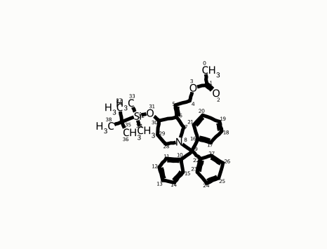 CC(=O)OC/C=C1\CN(C(c2ccccc2)(c2ccccc2)c2ccccc2)CCC1O[Si](C)(C)C(C)(C)C